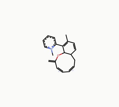 C=C1/C=C\C=C/CC2C=CC(C)=C(c3cccc[n+]3C)C2O1